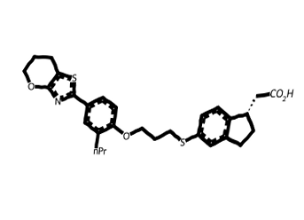 CCCc1cc(-c2nc3c(s2)CCCO3)ccc1OCCCSc1ccc2c(c1)CC[C@H]2CC(=O)O